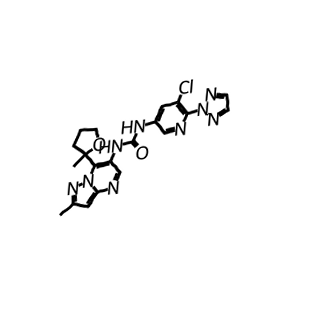 Cc1cc2ncc(NC(=O)Nc3cnc(-n4nccn4)c(Cl)c3)c(C3(C)CCCO3)n2n1